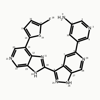 Nc1cncc(-c2cc3c(-c4nc5c(-c6ccc(F)s6)cncc5[nH]4)n[nH]c3cn2)c1